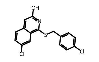 Oc1cc2ccc(Cl)cc2c(SCc2ccc(Cl)cc2)n1